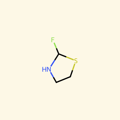 FC1NCCS1